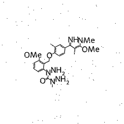 CN/C(OC)=C(/C)C(=N)c1ccc(OCc2c(OC)cccc2N(N)C(=O)N(C)N)c(C)c1